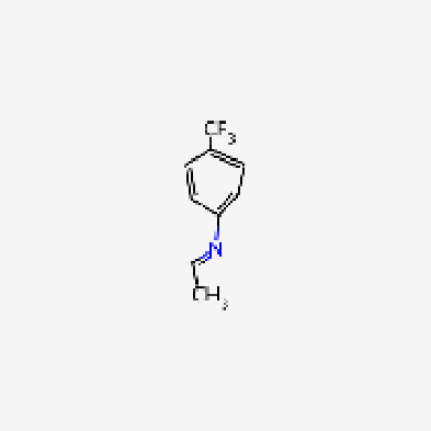 C[C]=Nc1ccc(C(F)(F)F)cc1